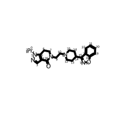 CC(C)n1ncc2c1CCN(CCN1CCC(c3noc4ccccc34)CC1)C2=O